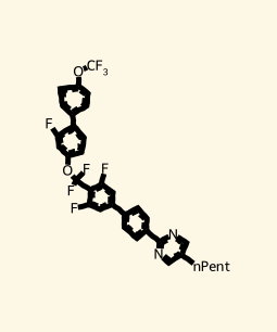 CCCCCc1cnc(-c2ccc(-c3cc(F)c(C(F)(F)Oc4ccc(-c5ccc(OC(F)(F)F)cc5)c(F)c4)c(F)c3)cc2)nc1